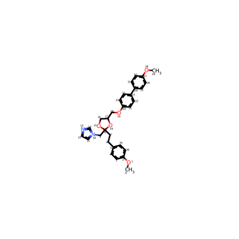 COc1ccc(CCC2(Cn3ccnc3)OCC(COc3ccc(-c4ccc(OC)cc4)cc3)O2)cc1